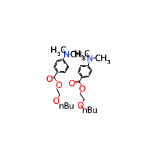 CCCCOCCOC(=O)c1ccc(N(C)C)cc1.CCCCOCCOC(=O)c1ccc(N(C)C)cc1